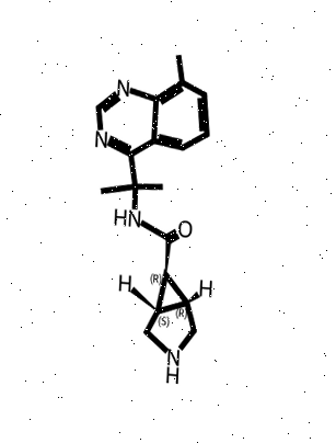 Cc1cccc2c(C(C)(C)NC(=O)[C@H]3[C@@H]4CNC[C@@H]43)ncnc12